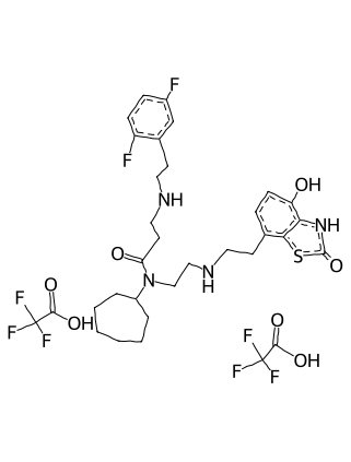 O=C(CCNCCc1cc(F)ccc1F)N(CCNCCc1ccc(O)c2[nH]c(=O)sc12)C1CCCCCC1.O=C(O)C(F)(F)F.O=C(O)C(F)(F)F